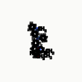 C=C(C)C1=C2CCC(C1)N(C1C=C(N(c3ccccc3)c3ccc4c5ccccc5n(C)c4c3)C=CC1)[C@]13CC=C[C@H](C1)C1CC=CC23C1C